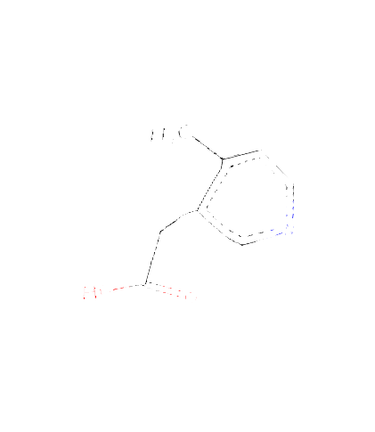 Cc1ccncc1CC(=O)O